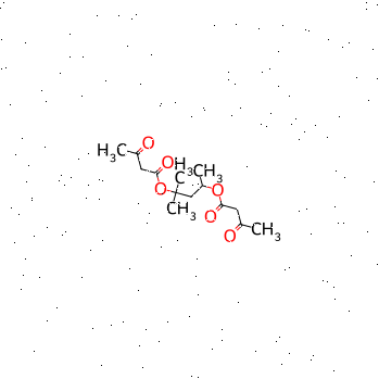 CC(=O)CC(=O)OC(C)CC(C)(C)OC(=O)CC(C)=O